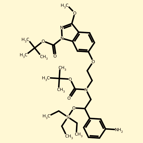 CC[Si](CC)(CC)OC(CN(CCOc1ccc2c(OC)nn(C(=O)OC(C)(C)C)c2c1)C(=O)OC(C)(C)C)c1cccc(N)c1